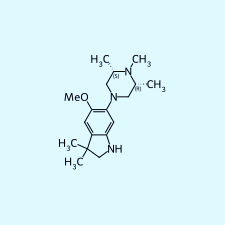 COc1cc2c(cc1N1C[C@@H](C)N(C)[C@@H](C)C1)NCC2(C)C